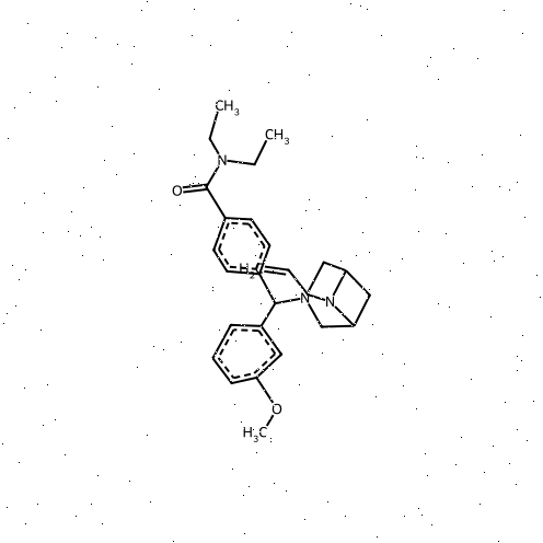 C=CCN1C2CC1CN(C(c1ccc(C(=O)N(CC)CC)cc1)c1cccc(OC)c1)C2